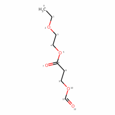 CCOCCOC(=O)CCOC=O